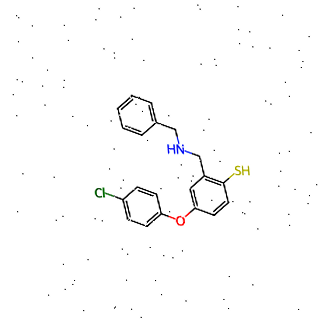 Sc1ccc(Oc2ccc(Cl)cc2)cc1CNCc1ccccc1